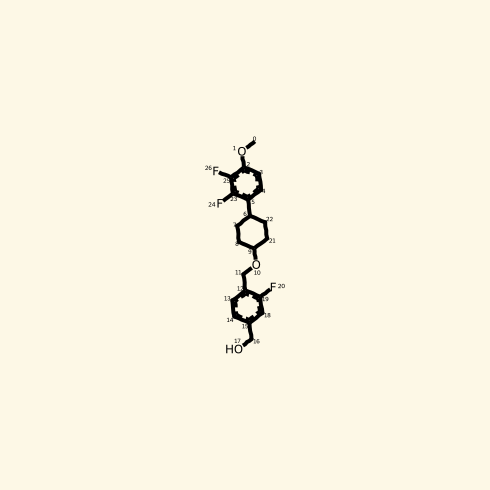 COc1ccc(C2CCC(OCc3ccc(CO)cc3F)CC2)c(F)c1F